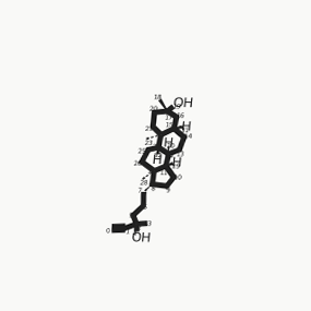 C#CC(C)(O)CCC[C@H]1CC[C@H]2[C@@H]3CC[C@H]4C[C@@](C)(O)CC[C@]4(C)[C@H]3CC[C@]12C